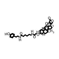 C[C@]12CC[C@H](OCC(=O)NCCCCCC(=O)NCCc3ccc(O)cc3)C[C@H]1CC[C@]1(C)[C@@H]2C[C@@H](O)[C@]2(C)[C@@H](C3=CC(=O)OC3)CC[C@@]21O